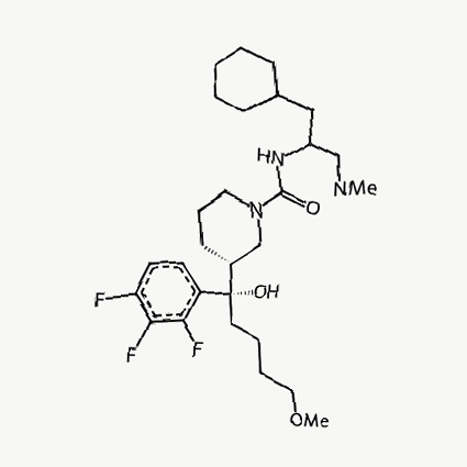 CNCC(CC1CCCCC1)NC(=O)N1CCC[C@@H]([C@@](O)(CCCCOC)c2ccc(F)c(F)c2F)C1